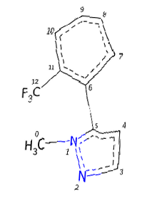 Cn1nccc1-c1ccccc1C(F)(F)F